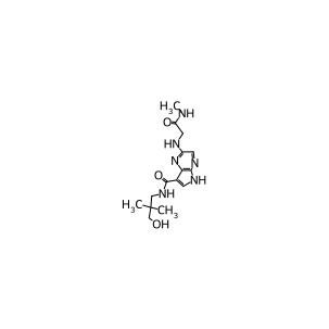 CNC(=O)CNc1cnc2[nH]cc(C(=O)NCC(C)(C)CO)c2n1